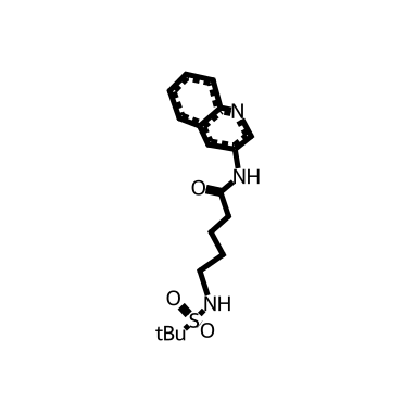 CC(C)(C)S(=O)(=O)NCCCCC(=O)Nc1cnc2ccccc2c1